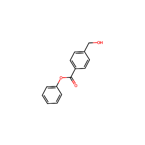 O=C(Oc1ccccc1)c1ccc(CO)cc1